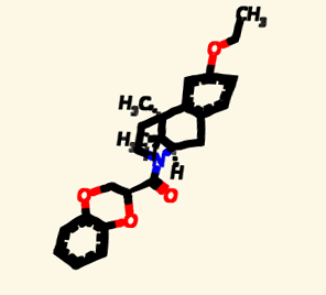 CCOc1ccc2c(c1)[C@]1(C)CCN(C(=O)[C@@H]3COc4ccccc4O3)[C@H](C2)[C@@H]1C